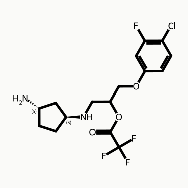 N[C@H]1CC[C@H](NCC(COc2ccc(Cl)c(F)c2)OC(=O)C(F)(F)F)C1